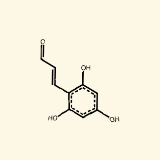 O=CC=Cc1c(O)cc(O)cc1O